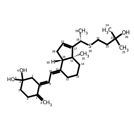 C=C1CCC(O)(O)CC1=CC=C1CCC[C@]2(C)C([C@H](C)SCCC(C)(C)O)=CC[C@@H]12